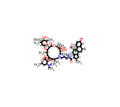 CC[C@H]1OC(=O)[C@H](C)C(O[C@@H]2C[C@](C)(OC)[C@H](O)C(C)O2)[C@H](C)[C@@H](O[C@@H]2O[C@H](C)C[C@@H](N(C)C)[C@H]2O)[C@](C)(O)C[C@@H](C)CN(CCCNC(=O)[C@H]2[C@H](C)CC3C4C[C@H](F)C5=CC(=O)C=C[C@]5(C)[C@@]4(Cl)[C@@H](O)C[C@@]32C)[C@H](C)[C@@H](O)[C@]1(C)O